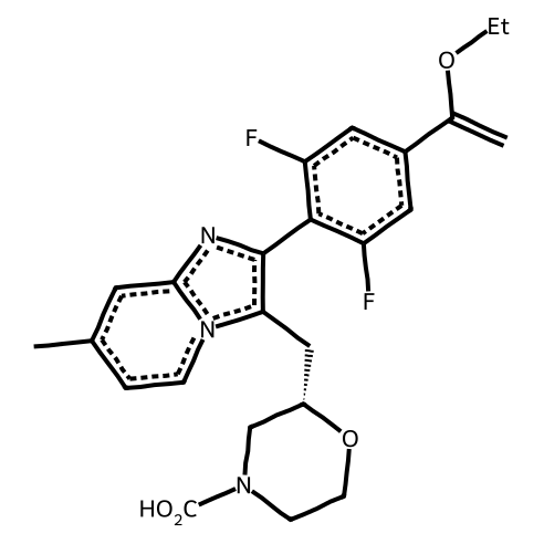 C=C(OCC)c1cc(F)c(-c2nc3cc(C)ccn3c2C[C@H]2CN(C(=O)O)CCO2)c(F)c1